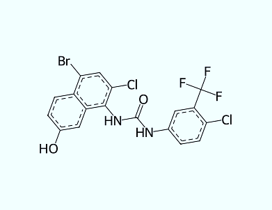 O=C(Nc1ccc(Cl)c(C(F)(F)F)c1)Nc1c(Cl)cc(Br)c2ccc(O)cc12